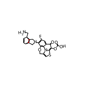 NCC12C=CC(CC1)C1CN(c3c(F)cc4c(=O)c(OC(=O)O)c5scc6n5c4c3OC6)CC12